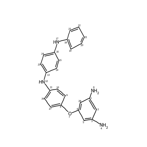 Nc1cc(N)cc(Oc2ccc(Nc3ccc(Nc4ccccc4)cc3)cc2)c1